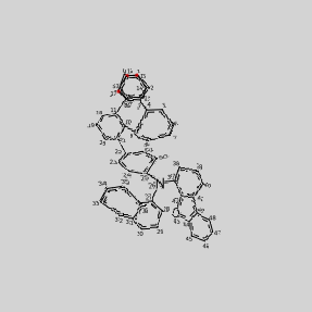 c1ccc(-c2ccccc2-c2c(-c3ccccc3)cccc2-c2ccc(N(c3cccc4ccccc34)c3cccc4c3oc3ccccc34)cc2)cc1